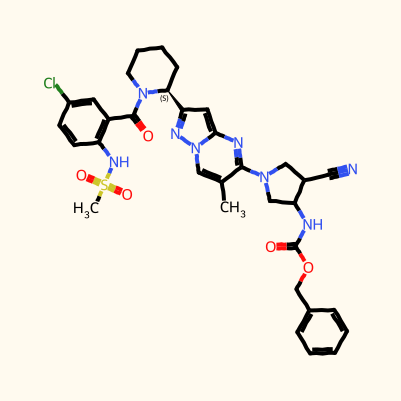 Cc1cn2nc([C@@H]3CCCCN3C(=O)c3cc(Cl)ccc3NS(C)(=O)=O)cc2nc1N1CC(C#N)C(NC(=O)OCc2ccccc2)C1